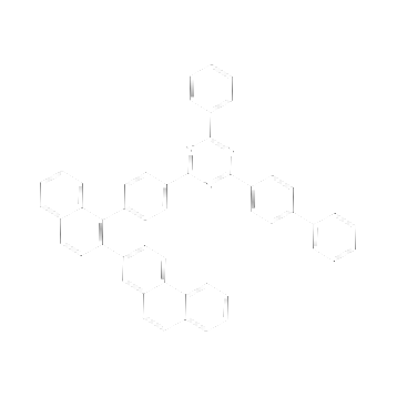 c1ccc(-c2ccc(-c3nc(-c4ccccc4)nc(-c4ccc(-c5c(-c6ccc7c(ccc8ccccc87)c6)ccc6ccccc56)cc4)n3)cc2)cc1